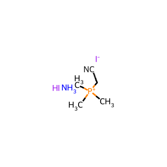 C[P+](C)(C)CC#N.I.N.[I-]